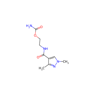 Cc1nn(C)cc1C(=O)NCCOC(N)=O